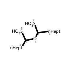 CCCCCCCC(OC(CCCCCCC)S(=O)(=O)O)S(=O)(=O)O